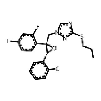 CCCSc1ncn(C[C@@]2(c3ccc(F)cc3F)O[C@H]2c2ccccc2Cl)n1